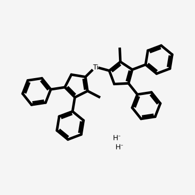 CC1=[C]([Ti][C]2=C(C)C(c3ccccc3)=C(c3ccccc3)C2)CC(c2ccccc2)=C1c1ccccc1.[H-].[H-]